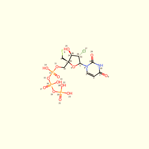 O=c1ccn(C2O[C@](CF)(COP(=O)(O)OP(=O)(O)OP(=O)(O)O)[C@@H](O)[C@@H]2Cl)c(=O)[nH]1